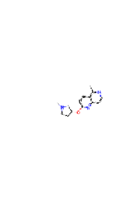 Cc1nccc2nc(O[C@@H]3CCN(C)C3)ccc12